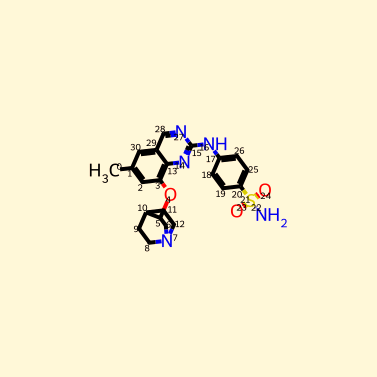 Cc1cc(OC2CN3CCC2CC3)c2nc(Nc3ccc(S(N)(=O)=O)cc3)ncc2c1